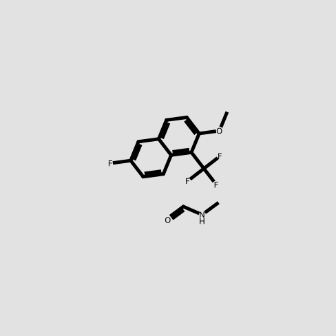 CNC=O.COc1ccc2cc(F)ccc2c1C(F)(F)F